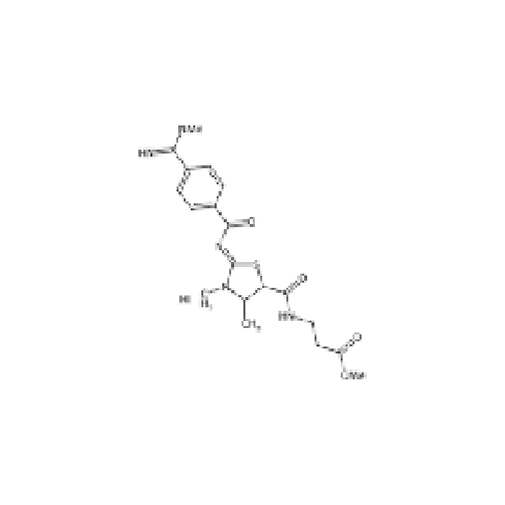 CNC(=N)c1ccc(C(=O)N=C2SC(C(=O)NCCC(=O)OC)C(C)N2C)cc1.I